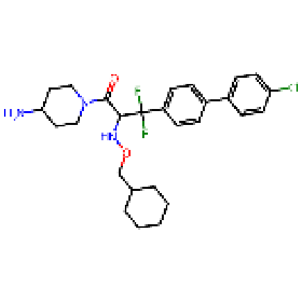 NC1CCN(C(=O)C(NOCC2CCCCC2)C(F)(F)c2ccc(-c3ccc(Cl)cc3)cc2)CC1